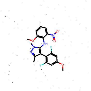 COc1cc(F)c(-c2c(C)nn(C)c2Nc2c(OC)cccc2[N+](=O)[O-])c(F)c1